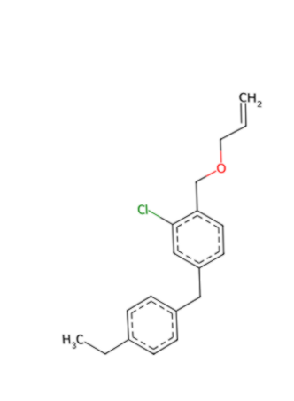 C=CCOCc1ccc(Cc2ccc(CC)cc2)cc1Cl